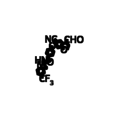 N#Cc1cc2c(cc1Oc1ccc(C(=O)Nc3nc4ccc(C(F)(F)F)cc4s3)cc1)OCCC2C=O